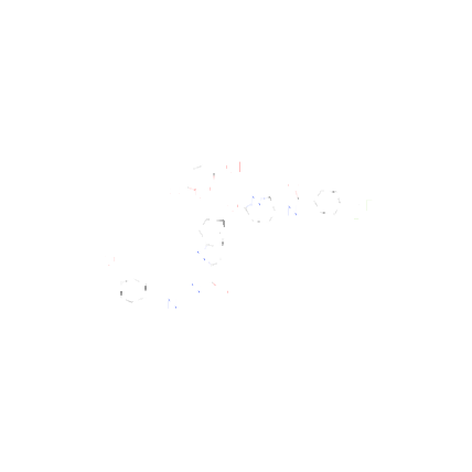 COCc1ccc(CN2CCN(C(=O)c3cc4cc(Oc5ccc(N(C)C(=O)c6ccc(C(F)(F)F)cc6)cn5)ccc4n3C)CC2)cc1.O=C(O)/C=C\C(=O)O